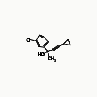 CC(O)(C#CC1CC1)c1cccc(Cl)c1